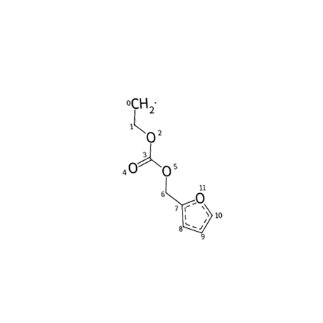 [CH2]COC(=O)OCc1ccco1